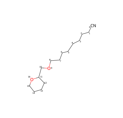 N#CCCCCCCCCOCC1CCCCO1